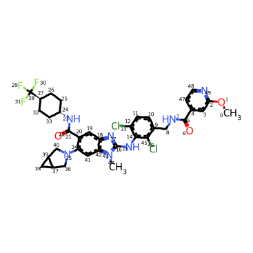 COc1cc(C(=O)NCc2ccc(Cl)c(Nc3nc4cc(C(=O)N[C@H]5CC[C@H](C(F)(F)F)CC5)c(N5CC6CC6C5)cc4n3C)c2Cl)ccn1